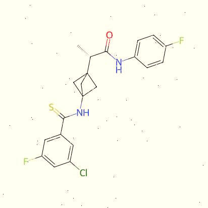 C[C@H](C(=O)Nc1ccc(F)cc1)C12CC(NC(=S)c3cc(F)cc(Cl)c3)(C1)C2